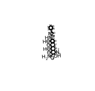 CN(C)[C@@H]1C(O)=C(C(N)=O)C(=O)C2C(O)=C3C(=O)c4c(ccc(Nc5nc(-c6ccccc6)cs5)c4O)CC3CC21